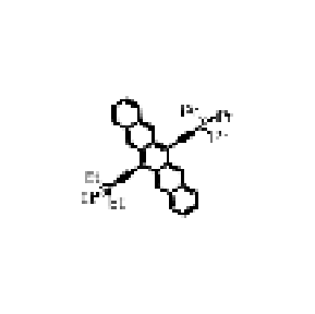 CC[Si](C#Cc1c2cc3ccccc3cc2c(C#CS(C(C)C)(C(C)C)C(C)C)c2cc3ccccc3cc12)(CC)CC